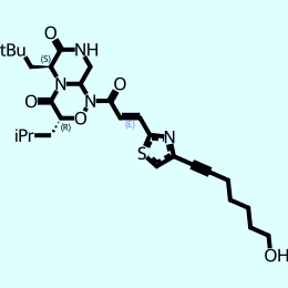 CC(C)C[C@H]1ON(C(=O)/C=C/c2nc(C#CCCCCCO)cs2)C2CNC(=O)[C@H](CC(C)(C)C)N2C1=O